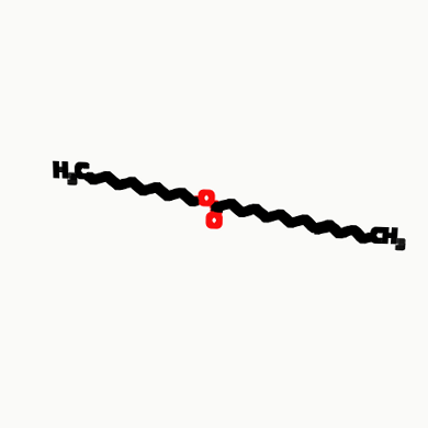 CCCCC=CCCCCCCCC(=O)OCCCCCCCCCC